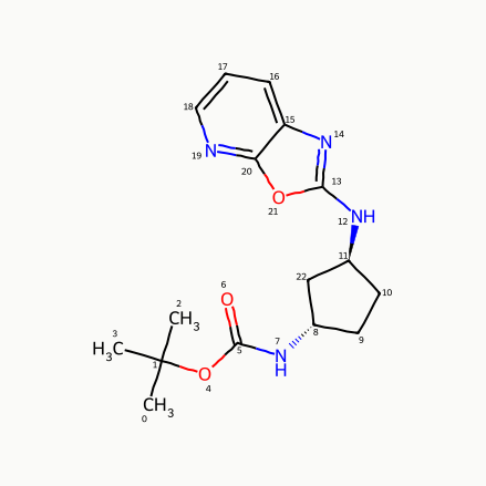 CC(C)(C)OC(=O)N[C@H]1CC[C@H](Nc2nc3cccnc3o2)C1